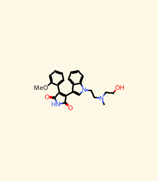 COc1ccccc1C1=C(c2cn(CCN(C)CCO)c3ccccc23)C(=O)NC1=O